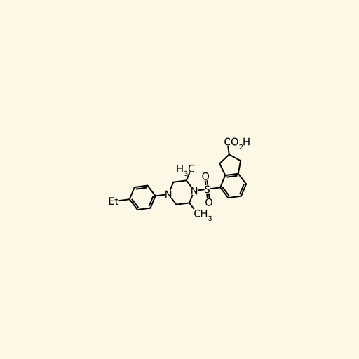 CCc1ccc(N2CC(C)N(S(=O)(=O)c3cccc4c3CC(C(=O)O)C4)C(C)C2)cc1